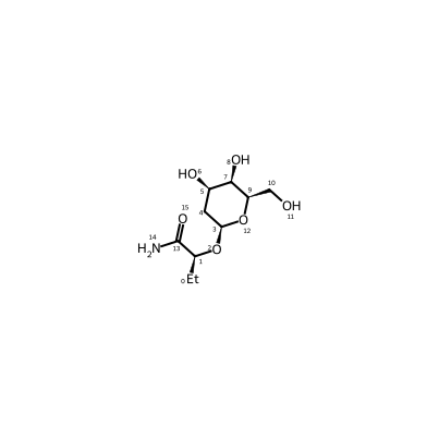 CC[C@H](O[C@H]1C[C@@H](O)[C@@H](O)[C@@H](CO)O1)C(N)=O